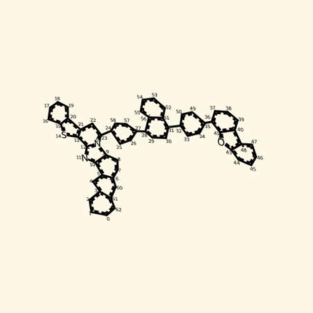 c1ccc2cc3c(ccc4c3nc3c5sc6ccccc6c5cc(-c5ccc(-c6ccc(-c7ccc(-c8cccc9c8oc8ccccc89)cc7)c7ccccc67)cc5)n43)cc2c1